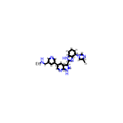 CCNCc1cncc(-c2cnc3[nH]nc(-c4nc5c(-n6cnc(C)c6)cccc5[nH]4)c3c2)c1